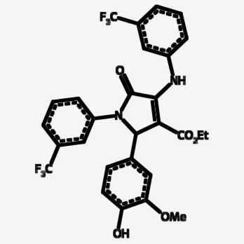 CCOC(=O)C1=C(Nc2cccc(C(F)(F)F)c2)C(=O)N(c2cccc(C(F)(F)F)c2)C1c1ccc(O)c(OC)c1